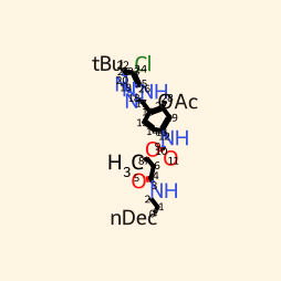 CCCCCCCCCCCCNC(=O)CC(C)OC(=O)Nc1ccc(-c2nn3nc(C(C)(C)C)c(Cl)c3[nH]2)c(OC(C)=O)c1